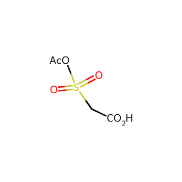 CC(=O)OS(=O)(=O)CC(=O)O